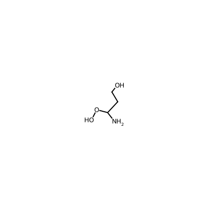 NC(CCO)OO